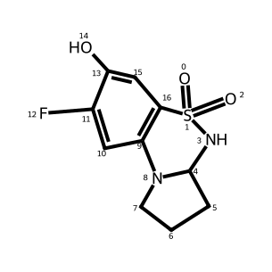 O=S1(=O)NC2CCCN2c2cc(F)c(O)cc21